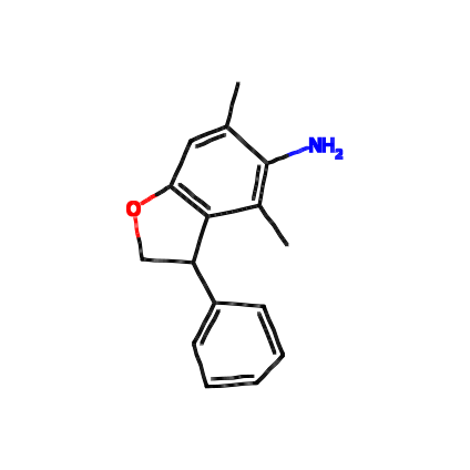 Cc1cc2c(c(C)c1N)C(c1ccccc1)CO2